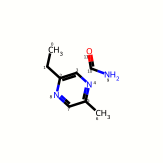 CCc1cnc(C)cn1.NC=O